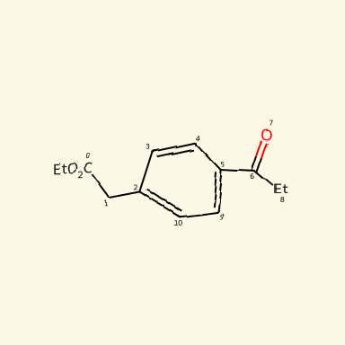 CCOC(=O)Cc1ccc(C(=O)CC)cc1